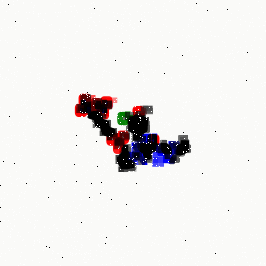 C=N/C(CNC(=O)c1cnc(N2CCC[C@H]2COC(=O)OCCCCC(CO[N+](=O)[O-])O[N+](=O)[O-])nc1NCc1ccc(OC)c(Cl)c1)=N\C=C/C